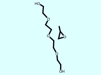 CC1CO1.OCCOCCOCCOCCO